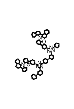 c1ccc(-c2cccc(-c3nc(-c4ccc(-c5cccc(-c6nc(-c7ccccc7)nc(-c7ccc8c(c7)oc7c(-n9c%10ccc%11ccccc%11c%10c%10ccc%11ccccc%11c%109)cccc78)n6)c5)cc4)nc(-c4ccc5c(c4)oc4c(-n6c7ccccc7c7ccc8ccccc8c76)cccc45)n3)c2)cc1